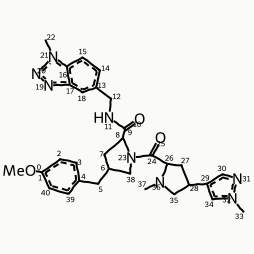 COc1ccc(CC2CC(C(=O)NCc3ccc4c(c3)nnn4C)N(C(=O)C3CC(c4cnn(C)c4)CN3C)C2)cc1